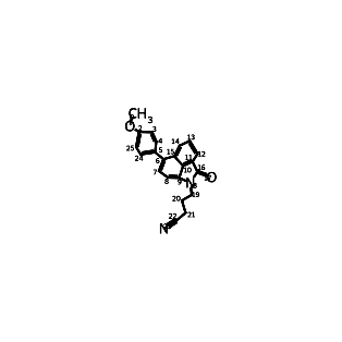 COc1ccc(-c2ccc3c4c(cccc24)C(=O)N3CCCC#N)cc1